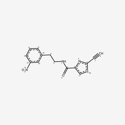 C#Cc1nc(C(=O)NCCc2cccc([N+](=O)[O-])c2)cs1